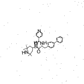 CC1(C)CC(NC(=O)C(Cc2ccc(-c3ccccc3)cc2)NC(=O)c2ccncc2)CC(C)(C)N1